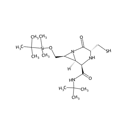 CC(C)(C)NC(=O)[C@@H]1N[C@@H](CS)C(=O)N2[C@@H]1[C@H]2CO[Si](C)(C)C(C)(C)C